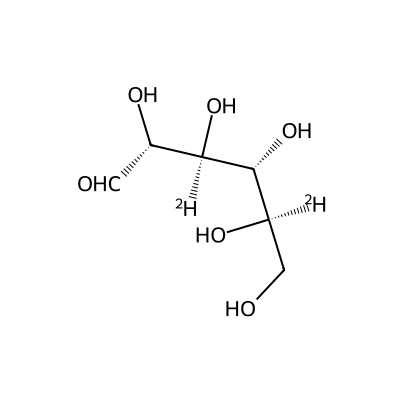 [2H][C@@](O)([C@@H](O)C=O)[C@H](O)[C@]([2H])(O)CO